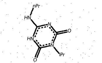 CCCNc1nc(=O)n(C(C)C)c(=O)[nH]1